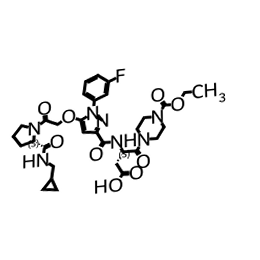 CCOC(=O)N1CCN(C(=O)[C@H](CC(=O)O)NC(=O)c2cc(OCC(=O)N3CCC[C@H]3C(=O)NCC3CC3)n(-c3cccc(F)c3)n2)CC1